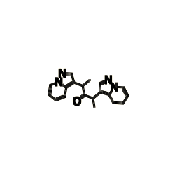 CC(C(=O)C(C)c1cnn2ccccc12)c1cnn2ccccc12